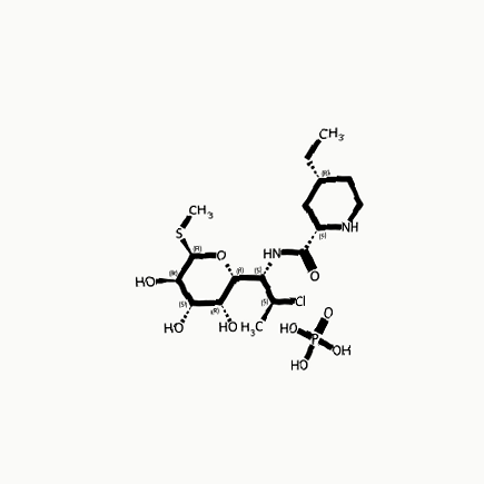 CC[C@@H]1CCN[C@H](C(=O)N[C@@H]([C@H]2O[C@H](SC)[C@H](O)[C@@H](O)[C@H]2O)[C@H](C)Cl)C1.O=P(O)(O)O